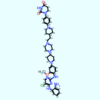 COc1cc(N2CCC(N3CCN(CCC4CCN(c5ccc(N6CCC(=O)NC6=O)cc5)CC4)CC3)CC2)ccc1Nc1ncc(Cl)c(Nc2ccccc2N)n1